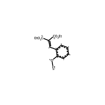 CCOC(=O)C(=Cc1ccccc1OCC)C(=O)OCC